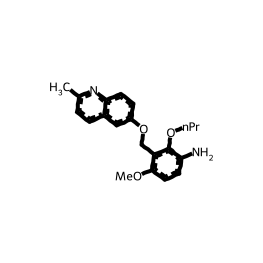 CCCOc1c(N)ccc(OC)c1COc1ccc2nc(C)ccc2c1